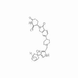 CC1(c2cc(CN3CCC(c4ccc5c(c4)CN(C4CCC(=O)NC4=O)C5=O)CC3)[nH]n2)CC2=CC[C@H](C2)C1